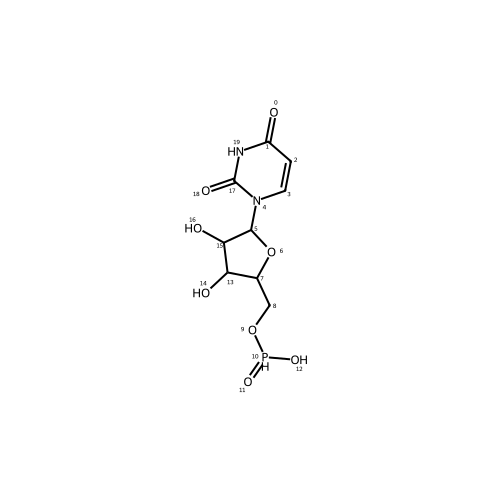 O=c1ccn(C2OC(CO[PH](=O)O)C(O)C2O)c(=O)[nH]1